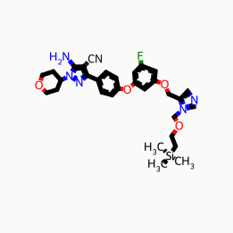 C[Si](C)(C)CCOCn1cncc1COc1cc(F)cc(Oc2ccc(-c3nn(C4CCOCC4)c(N)c3C#N)cc2)c1